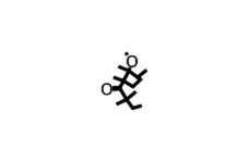 CCC(C)(C)C(=O)C(C)(CC)C(C)(CC)OC